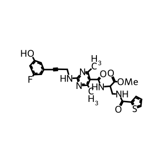 COC(=O)C(CNC(=O)c1cccs1)NC(=O)c1c(C)nc(NCC#Cc2cc(O)cc(F)c2)nc1C